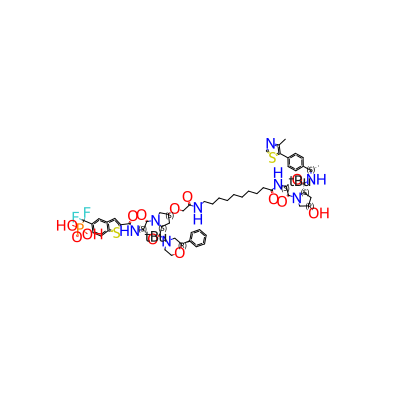 Cc1ncsc1-c1ccc([C@H](C)NC(=O)[C@@H]2C[C@@H](O)CN2C(=O)[C@@H](NC(=O)CCCCCCCCCNC(=O)CO[C@H]2C[C@@H](C(=O)N3CCO[C@H](c4ccccc4)C3)N(C(=O)[C@@H](NC(=O)c3cc4cc(C(F)(F)P(=O)(O)O)ccc4s3)C(C)(C)C)C2)C(C)(C)C)cc1